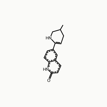 CC1CC=C(c2ccc3[nH]c(=O)ccc3c2)NC1